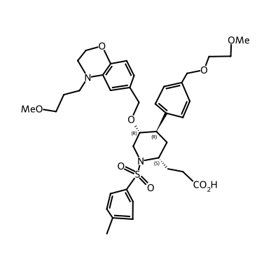 COCCCN1CCOc2ccc(CO[C@H]3CN(S(=O)(=O)c4ccc(C)cc4)[C@@H](CCC(=O)O)C[C@@H]3c3ccc(COCCOC)cc3)cc21